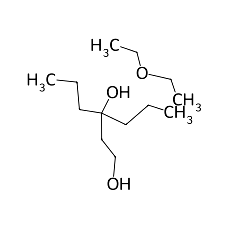 CCCC(O)(CCC)CCO.CCOCC